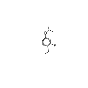 CCc1ccc(OC(C)C)cc1F